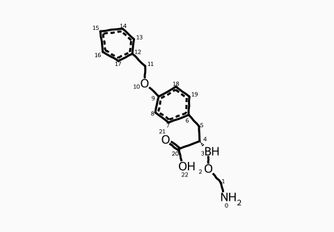 NCOB[C@@H](Cc1ccc(OCc2ccccc2)cc1)C(=O)O